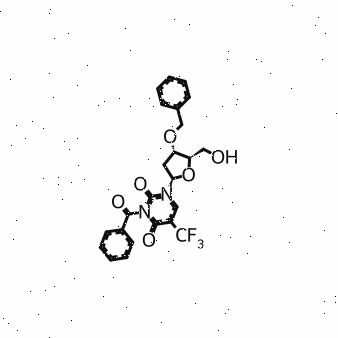 O=C(c1ccccc1)n1c(=O)c(C(F)(F)F)cn([C@H]2C[C@H](OCc3ccccc3)[C@@H](CO)O2)c1=O